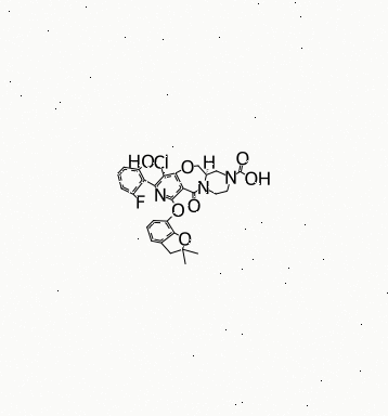 CC1(C)Cc2cccc(Oc3nc(-c4c(O)cccc4F)c(Cl)c4c3C(=O)N3CCN(C(=O)O)C[C@@H]3CO4)c2O1